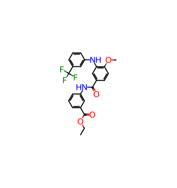 CCOC(=O)c1cccc(NC(=O)c2ccc(OC)c(Nc3cccc(C(F)(F)F)c3)c2)c1